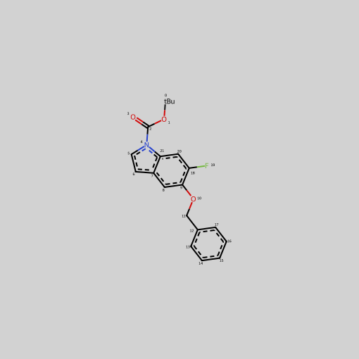 CC(C)(C)OC(=O)n1ccc2cc(OCc3ccccc3)c(F)cc21